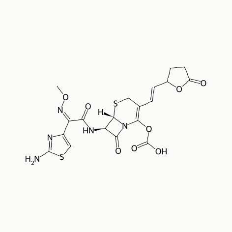 CO/N=C(\C(=O)N[C@@H]1C(=O)N2C(OC(=O)O)=C(/C=C/C3CCC(=O)O3)CS[C@@H]12)c1csc(N)n1